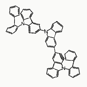 c1c(-c2ccc3c(c2)c2ccccc2n3-c2ccc3c(c2)c2ccccc2n3-c2ccccc2-c2ccccc2)cc2c3ccccc3n(-c3ccccc3C3=CC=CCC3)c2c#1